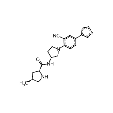 C[C@@H]1CN[C@H](C(=O)N[C@H]2CCN(c3ccc(-c4ccsc4)cc3C#N)C2)C1